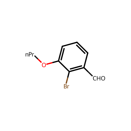 CCCOc1cccc(C=O)c1Br